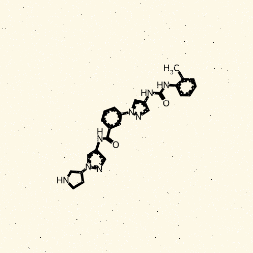 Cc1ccccc1NC(=O)Nc1cnn(-c2cccc(C(=O)Nc3cnn(C4CCNC4)c3)c2)c1